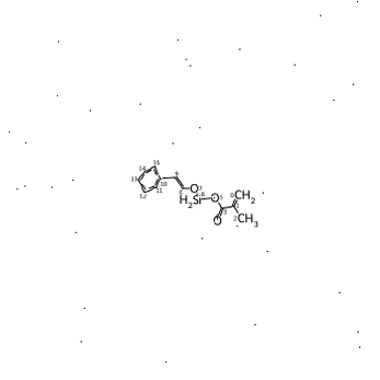 C=C(C)C(=O)O[SiH2]OC=Cc1ccccc1